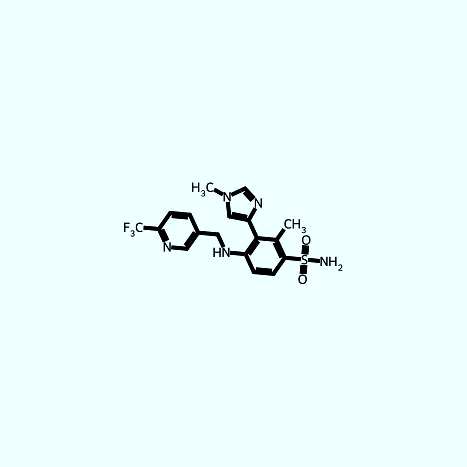 Cc1c(S(N)(=O)=O)ccc(NCc2ccc(C(F)(F)F)nc2)c1-c1cn(C)cn1